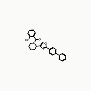 O=C(c1ccccc1O)N1CCCCC1c1coc(-c2ccc(-c3ccccc3)cc2)n1